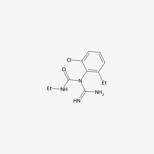 CCNC(=O)N(C(=N)N)c1c(Cl)cccc1CC